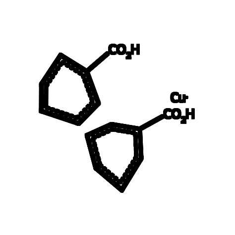 O=C(O)c1ccccc1.O=C(O)c1ccccc1.[Cu]